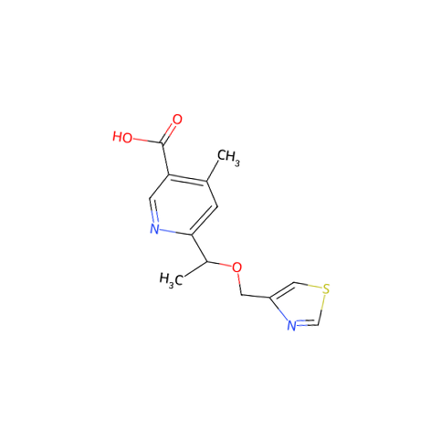 Cc1cc(C(C)OCc2cscn2)ncc1C(=O)O